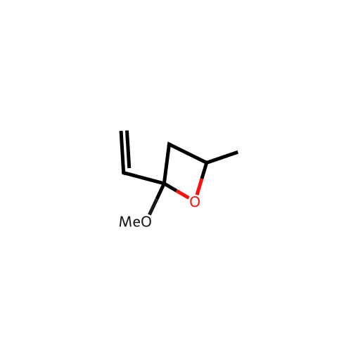 C=CC1(OC)CC(C)O1